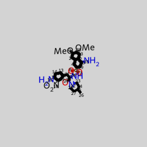 COc1cc2cc(S(=O)(=O)NC(Cc3ccc(N)c([N+](=O)[O-])c3)C(=O)N3CCC(C)CC3)cc(N)c2cc1OC